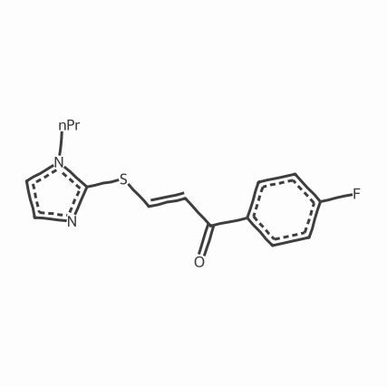 CCCn1ccnc1S/C=C/C(=O)c1ccc(F)cc1